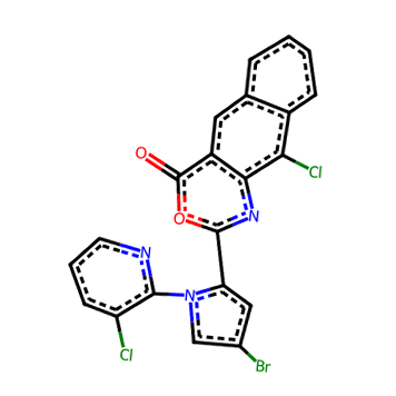 O=c1oc(-c2cc(Br)cn2-c2ncccc2Cl)nc2c(Cl)c3ccccc3cc12